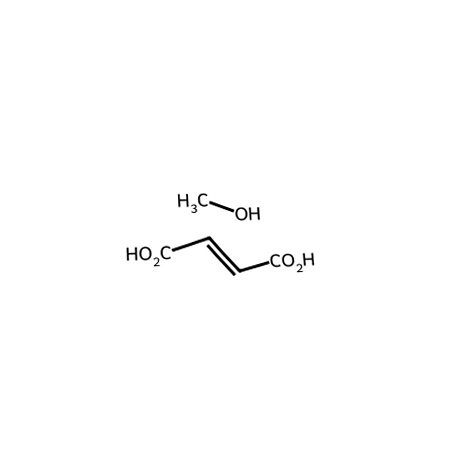 CO.O=C(O)/C=C/C(=O)O